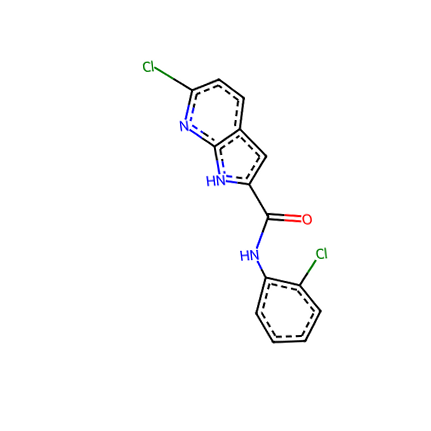 O=C(Nc1ccccc1Cl)c1cc2ccc(Cl)nc2[nH]1